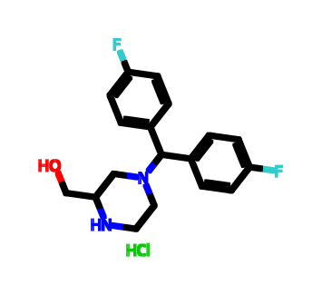 Cl.OCC1CN(C(c2ccc(F)cc2)c2ccc(F)cc2)CCN1